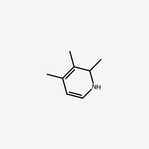 CC1=C(C)C(C)NC=C1